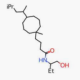 CCC(CO)NC(=O)CCCC1(C)CCCC(C(C)CC(C)C)CCC1